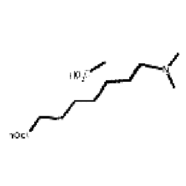 CC(=O)O.CCCCCCCCCCCCCCCN(C)C